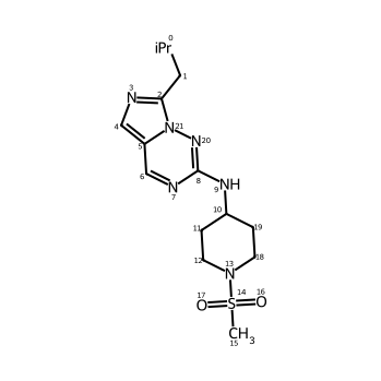 CC(C)Cc1ncc2cnc(NC3CCN(S(C)(=O)=O)CC3)nn12